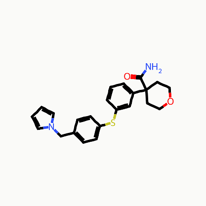 NC(=O)C1(c2cccc(Sc3ccc(Cn4cccc4)cc3)c2)CCOCC1